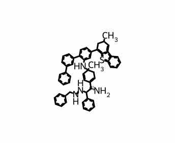 CC1C=c2c(sc3ccccc23)=C(c2ccc(-c3cccc(-c4ccccc4)c3)c(NC3(C)C=CC([C@H](N)C(NNCc4ccccc4)c4ccccc4)=CC3)c2)C1